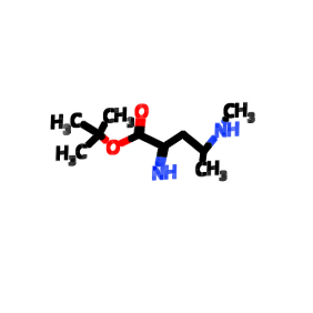 CNC(C)CC(=N)C(=O)OC(C)(C)C